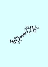 C=CC(=O)Oc1ccc(C#CC#Cc2ccc(S)cc2)cc1